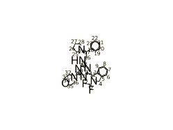 FC(F)N1Cc2ccccc2C1c1nc(NCC(c2ccccc2)N2CCCC2)nc(N2CCOCC2)n1